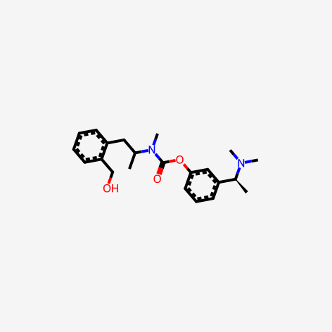 CC(Cc1ccccc1CO)N(C)C(=O)Oc1cccc([C@H](C)N(C)C)c1